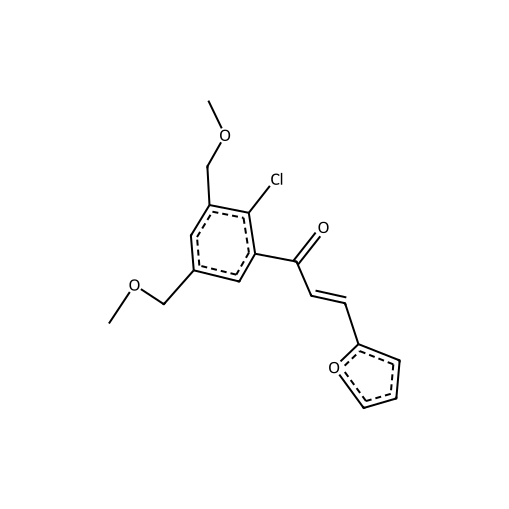 COCc1cc(COC)c(Cl)c(C(=O)/C=C/c2ccco2)c1